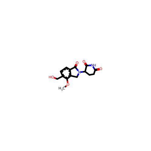 COc1c(CO)ccc2c1CN(C1CCC(=O)NC1=O)C2=O